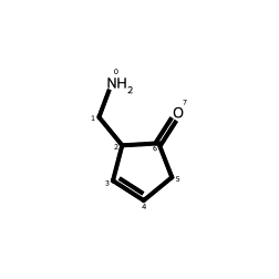 NCC1C=CCC1=O